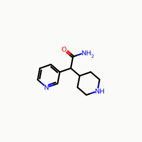 NC(=O)C(c1cccnc1)C1CCNCC1